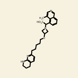 Cc1cncc2cccc(C(C(=O)O)N3CC(OCCCCCc4ccc5c(n4)NCCC5)C3)c12